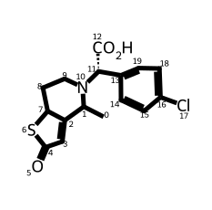 CC1C2=CC(=O)SC2CCN1[C@H](C(=O)O)c1ccc(Cl)cc1